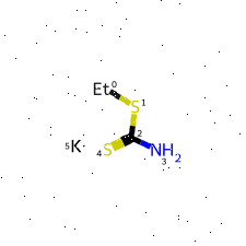 CCSC(N)=S.[K]